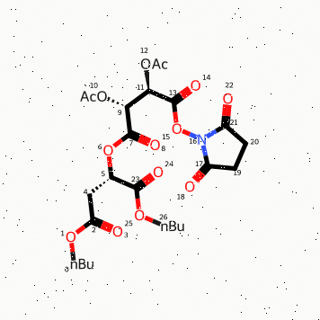 CCCCOC(=O)C[C@H](OC(=O)[C@H](OC(C)=O)[C@@H](OC(C)=O)C(=O)ON1C(=O)CCC1=O)C(=O)OCCCC